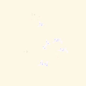 Cc1ccc(C(F)(F)F)cc1Cn1cc(-c2nn(C3CCCN(C(=O)OC(C)(C)C)CCC3)c(N)c2C(N)=O)cn1